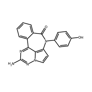 Nc1nc2c3c(ccn3n1)N(c1ccc(O)cc1)C(=O)c1ccccc1-2